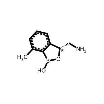 Cc1cccc2c1B(O)O[C@H]2CN